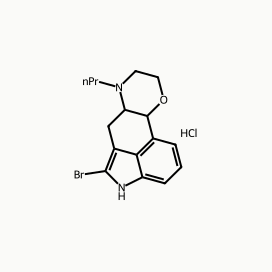 CCCN1CCOC2c3cccc4[nH]c(Br)c(c34)CC21.Cl